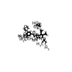 CCC(CC)Oc1nn2c(=N)n(CC(=O)c3cc(N4CCOCC4)c(OC)c(C(C)(C)C)c3)nc2c(C2CC2)c1C1CC1.O=C(O)C(F)(F)F